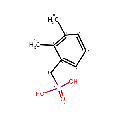 Cc1cccc(CP(=O)(O)O)c1C